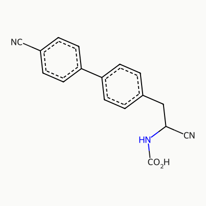 N#Cc1ccc(-c2ccc(CC(C#N)NC(=O)O)cc2)cc1